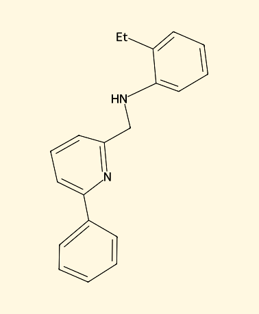 CCc1ccccc1NCc1cccc(-c2ccccc2)n1